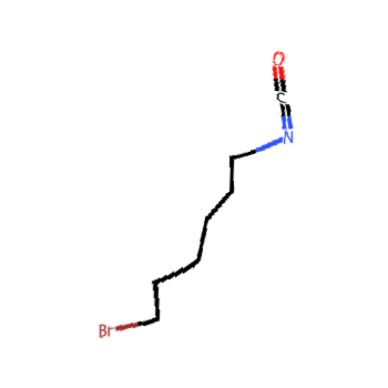 O=C=NCCCCCCBr